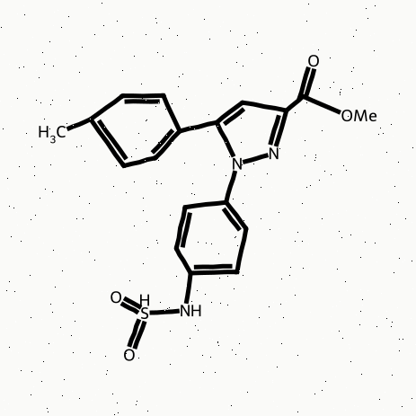 COC(=O)c1cc(-c2ccc(C)cc2)n(-c2ccc(N[SH](=O)=O)cc2)n1